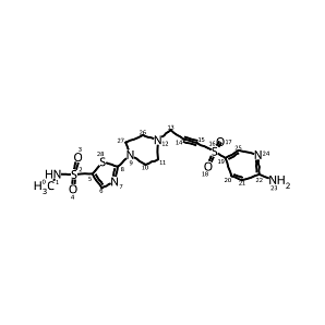 CNS(=O)(=O)c1cnc(N2CCN(CC#CS(=O)(=O)c3ccc(N)nc3)CC2)s1